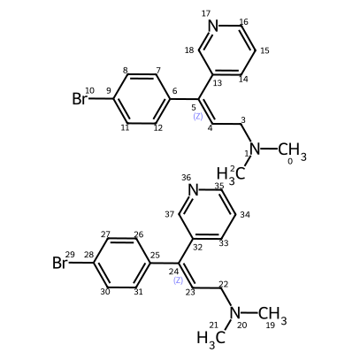 CN(C)C/C=C(/c1ccc(Br)cc1)c1cccnc1.CN(C)C/C=C(/c1ccc(Br)cc1)c1cccnc1